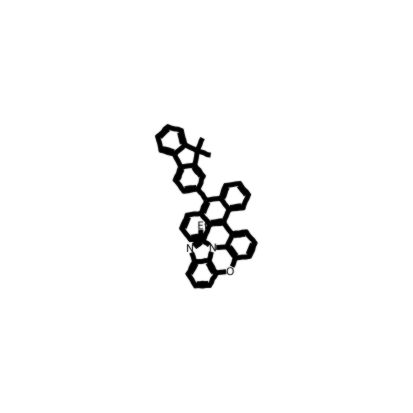 CCc1nc2cccc3c2n1-c1c(cccc1-c1c2ccccc2c(-c2ccc4c(c2)C(C)(C)c2ccccc2-4)c2ccccc12)O3